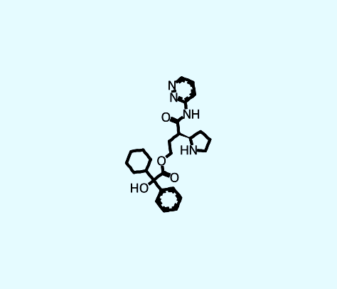 O=C(Nc1cccnn1)C(CCOC(=O)C(O)(c1ccccc1)C1CCCCC1)[C@H]1CCCN1